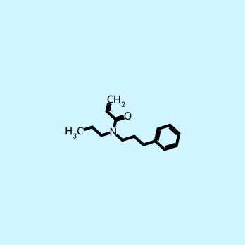 C=CC(=O)N(CCC)CCCc1ccccc1